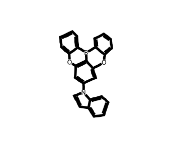 c1ccc2c(c1)Oc1cc(-n3ccc4ccccc43)cc3c1B2c1ccccc1O3